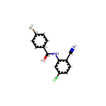 N#Cc1ccc(Cl)cc1NC(=O)c1ccc(Br)cc1